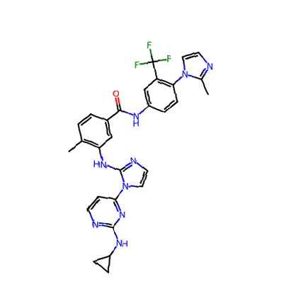 Cc1ccc(C(=O)Nc2ccc(-n3ccnc3C)c(C(F)(F)F)c2)cc1Nc1nccn1-c1ccnc(NC2CC2)n1